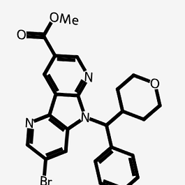 COC(=O)c1cnc2c(c1)c1ncc(Br)cc1n2C(c1ccccc1)C1CCOCC1